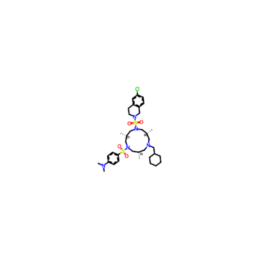 C[C@@H]1CN(CC2CCCCC2)C[C@H](C)CN(S(=O)(=O)c2ccc(N(C)C)cc2)C[C@H](C)CN(S(=O)(=O)N2CCc3cc(Cl)ccc3C2)C1